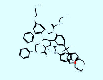 CCNC(=O)N1C(=O)[C@@]2(c3cc(C(C)(C)c4ccc(OC)cc4)ccc31)[C@H](c1ccc(OCCO)cc1)N1[C@H](c3ccccc3)[C@H](c3ccccc3)OC(=O)[C@H]1[C@@H]2C(=O)Nc1ccc(N2CCOCC2)cc1